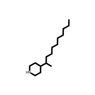 CCCCCCCCCC(C)C1CCNCC1